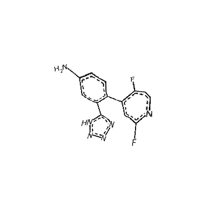 Nc1ccc(-c2cc(F)ncc2F)c(-c2nnn[nH]2)c1